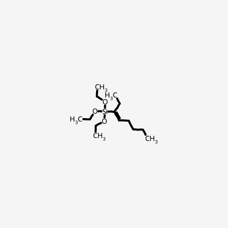 CCCC/C=C(\CC)[Si](OCC)(OCC)OCC